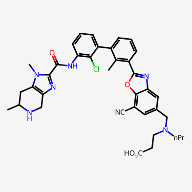 CCCN(CCC(=O)O)Cc1cc(C#N)c2oc(-c3cccc(-c4cccc(NC(=O)c5nc6c(n5C)CC(C)NC6)c4Cl)c3C)nc2c1